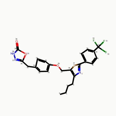 CCCCc1nc(-c2ccc(C(F)(F)F)cc2)sc1COc1ccc(Cc2n[nH]c(=O)o2)cc1